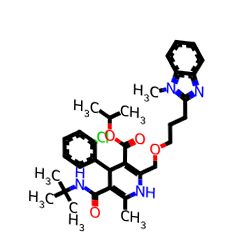 CC1=C(C(=O)NC(C)(C)C)C(c2ccccc2Cl)C(C(=O)OC(C)C)=C(COCCCc2nc3ccccc3n2C)N1